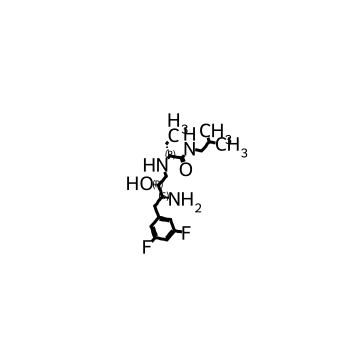 CC[C@@H](NC[C@@H](O)[C@@H](N)Cc1cc(F)cc(F)c1)C(=O)NCC(C)C